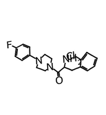 NC(Cc1ccccc1Cl)C(=O)N1CCN(c2ccc(F)cc2)CC1